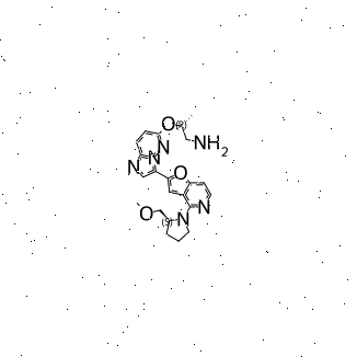 COC[C@@H]1CCCN1c1nccc2oc(-c3cnc4ccc(O[C@H](C)CN)nn34)cc12